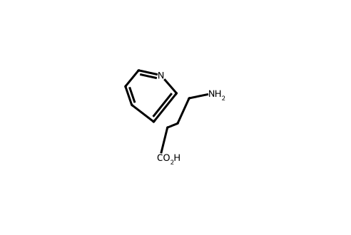 NCCCC(=O)O.c1ccncc1